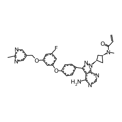 C=CC(=O)N(C)[C@H]1C[C@@H](n2nc(-c3ccc(Oc4cc(F)cc(OCc5cnc(C)nc5)c4)cc3)c3c(N)ncnc32)C1